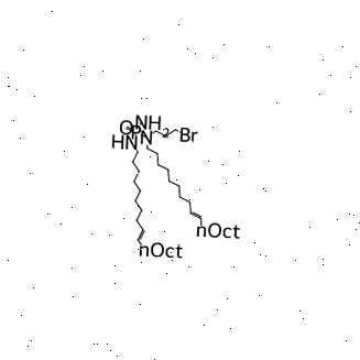 CCCCCCCCC=CCCCCCCCCNP(N)(=O)N(CCCBr)CCCCCCCCC=CCCCCCCCC